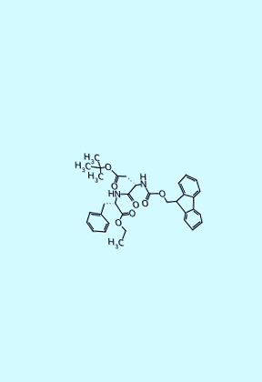 CCOC(=O)[C@H](Cc1ccccc1)NC(=O)[C@H](CC(=O)OC(C)(C)C)NC(=O)OCC1c2ccccc2-c2ccccc21